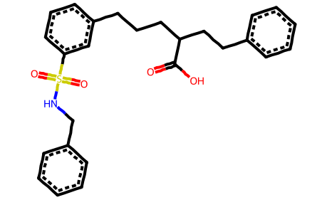 O=C(O)C(CCCc1cccc(S(=O)(=O)NCc2ccccc2)c1)CCc1ccccc1